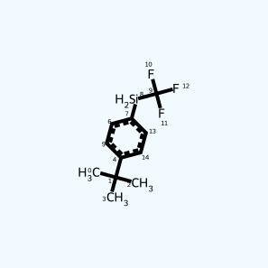 CC(C)(C)c1ccc([SiH2]C(F)(F)F)cc1